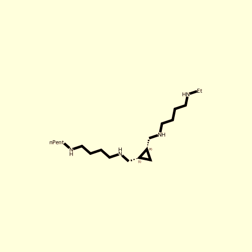 CCCCCNCCCCNC[C@H]1C[C@H]1CNCCCCNCC